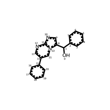 OC(c1ccccc1)c1cnc2ncc(-c3ccccc3)cn12